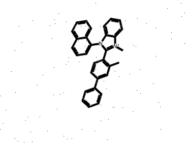 Cc1cc(-c2ccccc2)ccc1-c1n(-c2cccc3ccccc23)c2ccccc2[n+]1C